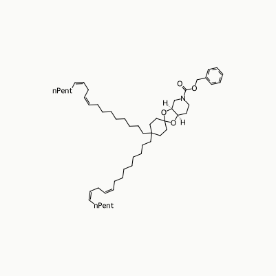 CCCCC/C=C\C/C=C\CCCCCCCCC1(CCCCCCCC/C=C\C/C=C\CCCCC)CCC2(CC1)O[C@H]1CN(C(=O)OCc3ccccc3)CC[C@H]1O2